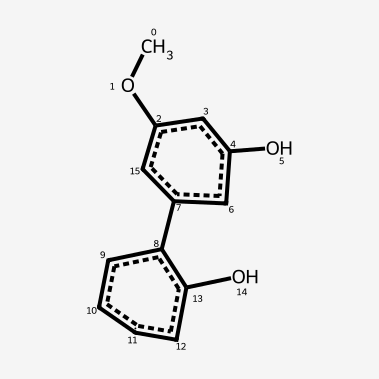 COc1cc(O)cc(-c2cc[c]cc2O)c1